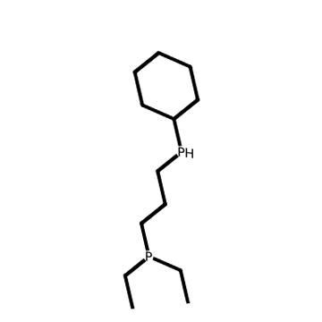 CCP(CC)CCCPC1CCCCC1